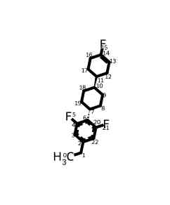 CCc1cc(F)c([C@H]2CC[C@H](C3CC=C(F)CC3)CC2)c(F)c1